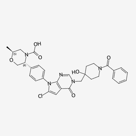 C[C@H]1CN(C(=O)O)[C@H](c2ccc(-n3c(Cl)cc4c(=O)n(CC5(O)CCN(C(=O)c6ccccc6)CC5)cnc43)cc2)CO1